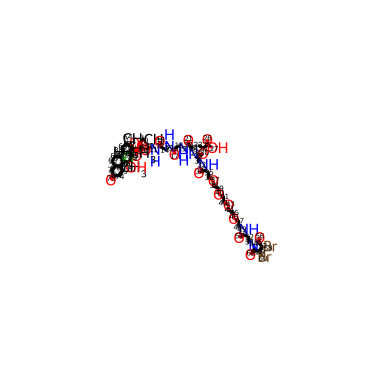 CCC(=O)O[C@]1(C(=O)COCNC(=O)CNC(=O)CNC(=O)[C@H](CCC(=O)O)NC(=O)CNC(=O)CCOCCOCCOCCOCCNC(=O)CCN2C(=O)C(Br)=C(Br)C2=O)[C@@H](C)CC2[C@@H]3CCC4=CC(=O)C=C[C@]4(C)[C@@]3(Cl)[C@@H](O)C[C@@]21C